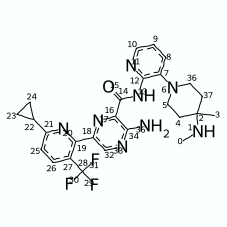 CNC1(C)CCN(c2cccnc2NC(=O)c2nc(-c3nc(C4CC4)ccc3C(F)(F)F)cnc2N)CC1